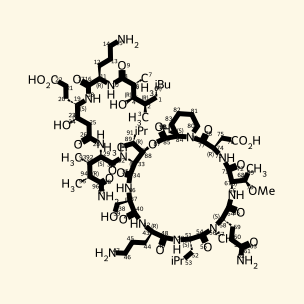 CC[C@@H](C)C[C@@H](C)[C@@H](O)[C@@H](C)C(=O)N[C@H](CCCN)C(=O)N[C@@H](CCC(=O)O)[C@@H](O)CC(=O)N[C@H](C(=O)N[C@H]1C(=O)N[C@H](CO)C(=O)N[C@H](CCCN)C(=O)N[C@@H](CC(C)C)C(=O)N(C)[C@@H](CCC(N)=O)C(=O)N[C@@H]([C@@H](C)OC)C(=O)N[C@H](CC(=O)O)C(=O)N2CCCC[C@H]2C(=O)O[C@@H]1[C@H](C)C(C)C)[C@@H](C)[C@@H](C)C(N)=O